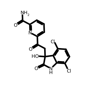 NC(=O)c1cccc(C(=O)CC2(O)C(=O)Nc3c(Cl)ccc(Cl)c32)n1